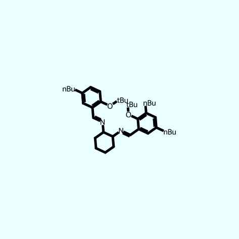 CCCCc1ccc(OC(C)(C)C)c(/C=N/C2CCCCC2/N=C/c2cc(CCCC)cc(CCCC)c2OC(C)(C)C)c1